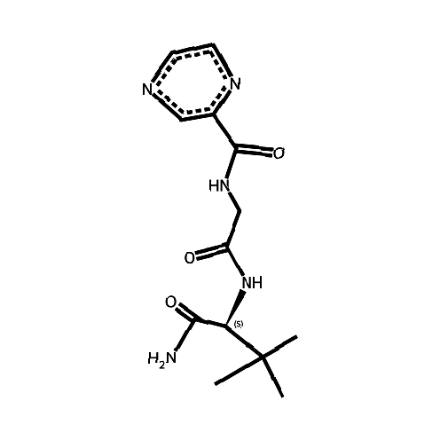 CC(C)(C)[C@H](NC(=O)CNC(=O)c1cnccn1)C(N)=O